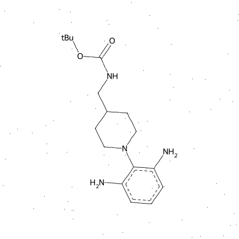 CC(C)(C)OC(=O)NCC1CCN(c2c(N)cccc2N)CC1